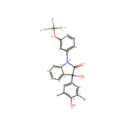 Cc1cc(C2(O)C(=O)N(c3cccc(OC(F)(F)F)c3)c3ccccc32)cc(C)c1O